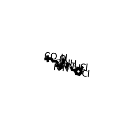 CC(C)(CCCn1ncc2nc(NCc3ccc(Cl)c(Cl)c3)[nH]c(=O)c21)C(=O)O